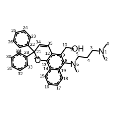 CN(C)CCCN(C)c1c(CO)c2c(c3ccccc13)OC(c1ccccc1)(c1ccccc1)C=C2